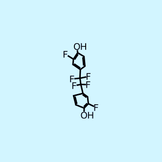 Oc1ccc(C(F)(F)C(F)(F)c2ccc(O)c(F)c2)cc1F